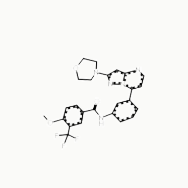 COc1ccc(C(=O)Nc2cccc(-c3ccnc4cc(N5CCOCC5)nn34)c2)cc1C(F)(F)F